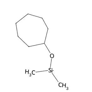 C[Si](C)OC1CCCCCC1